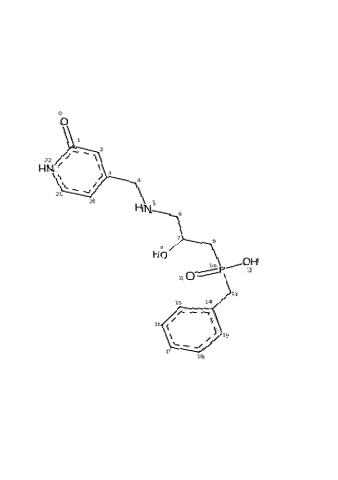 O=c1cc(CNCC(O)CP(=O)(O)Cc2ccccc2)cc[nH]1